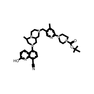 Cc1cc(N2CCN(C(=O)OC(C)(C)C)CC2)ncc1CN1CCN2C(C)CN(c3ccc(C#N)c4nc(O)ccc34)CC2C1